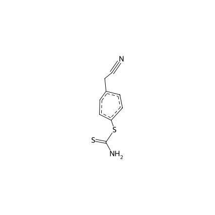 N#CCc1ccc(SC(N)=S)cc1